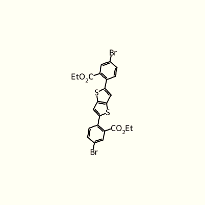 CCOC(=O)c1cc(Br)ccc1-c1cc2sc(-c3ccc(Br)cc3C(=O)OCC)cc2s1